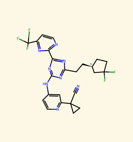 N#CC1(c2cc(Nc3nc(CC[C@H]4CCC(F)(F)C4)nc(-c4nccc(C(F)(F)F)n4)n3)ccn2)CC1